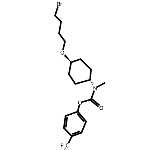 CN(C(=O)Oc1ccc(C(F)(F)F)cc1)[C@H]1CC[C@H](OCCCCBr)CC1